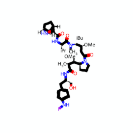 CC[C@H](C)[C@@H]([C@@H](CC(=O)N1CCC[C@H]1[C@H](OC)[C@@H](C)C(=O)N[C@H](CO)Cc1ccc(NI)cc1)OC)N(C)C(=O)[C@@H](NC(=O)[C@H]1N[C@H]2CC[C@H]1[C@@H]2C)C(C)C